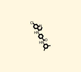 Cc1cc(C)cc(NC(=O)c2ccc(Nc3ccnc4cc(Cl)ccc34)cc2)c1